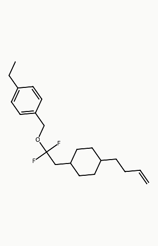 C=CCCC1CCC(CC(F)(F)OCc2ccc(CC)cc2)CC1